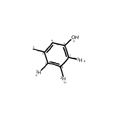 [2H]c1c(C)cc(O)c([2H])c1[2H]